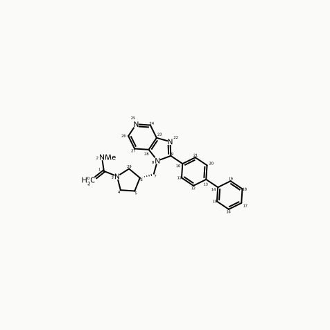 C=C(NC)N1CC[C@@H](Cn2c(-c3ccc(-c4ccccc4)cc3)nc3cnccc32)C1